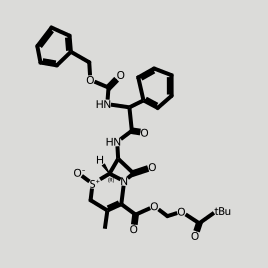 CC1=C(C(=O)OCOC(=O)C(C)(C)C)N2C(=O)C(NC(=O)C(NC(=O)OCc3ccccc3)c3ccccc3)[C@H]2[S+]([O-])C1